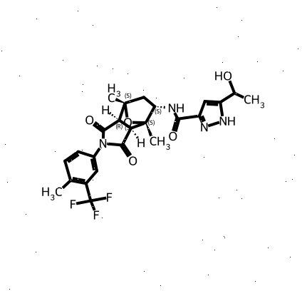 Cc1ccc(N2C(=O)[C@@H]3[C@H](C2=O)[C@]2(C)O[C@@]3(C)C[C@@H]2NC(=O)c2cc(C(C)O)[nH]n2)cc1C(F)(F)F